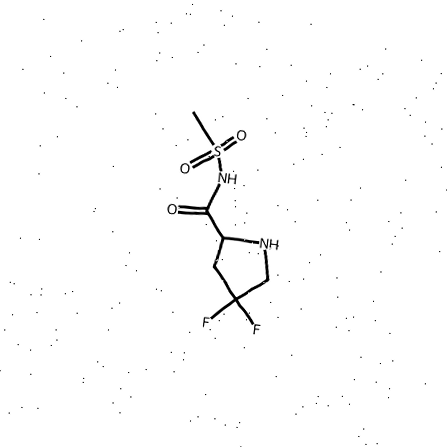 CS(=O)(=O)NC(=O)C1CC(F)(F)CN1